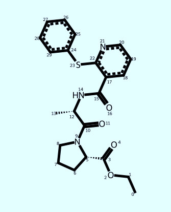 CCOC(=O)[C@@H]1CCCN1C(=O)[C@H](C)NC(=O)c1cccnc1Sc1ccccc1